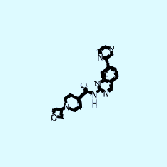 O=C(Nc1ncc2ccc(-c3cnccn3)cc2n1)C1CCN(C2COC2)CC1